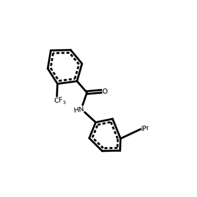 CC(C)c1cccc(NC(=O)c2ccccc2C(F)(F)F)c1